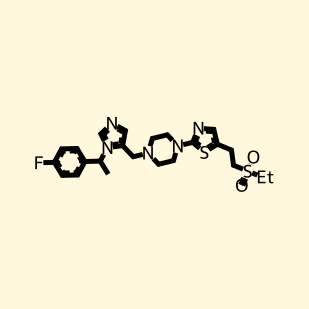 CCS(=O)(=O)CCc1cnc(N2CCN(Cc3cncn3C(C)c3ccc(F)cc3)CC2)s1